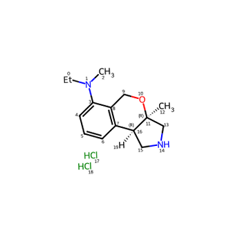 CCN(C)c1cccc2c1CO[C@@]1(C)CNC[C@@H]21.Cl.Cl